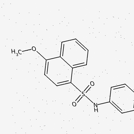 COc1ccc(S(=O)(=O)Nc2ccccc2)c2ccccc12